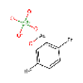 CC(=O)[O-].CCc1cc[c]([Tl+2])cc1.[O-][Cl+3]([O-])([O-])[O-]